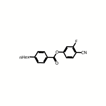 CCCCCCc1ccc(C(=O)Oc2ccc(C#N)c(F)c2)cc1